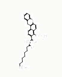 CCCCCCCCCCCCCCCCCC(=O)NC(=O)c1ccc2c3c(ccc2c1C(=O)O)Sc1ccccc1C3